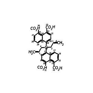 C=CC[Si](CC=C)(c1ccc(C(=O)O)c2c(C(=O)O)cccc12)c1ccc(C(=O)O)c2c(C(=O)O)cccc12